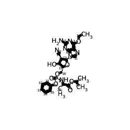 CCOc1nc(N)nc2c1ncn2[C@@H]1O[C@H](CO[P@@](=O)(N[C@H](C)C(=O)OC(C)C)Oc2ccccc2)[C@@H](O)[C@H]1C#N